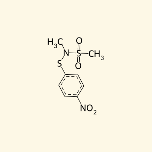 CN(Sc1ccc([N+](=O)[O-])cc1)S(C)(=O)=O